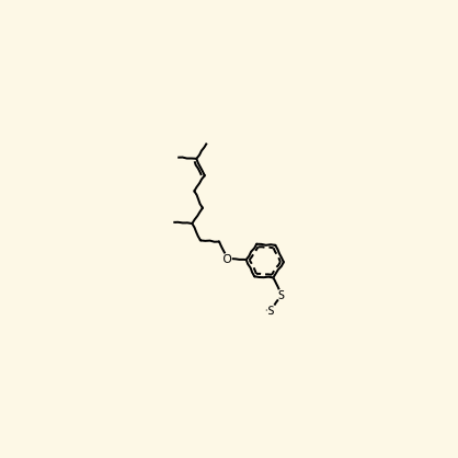 CC(C)=CCCC(C)CCOc1cccc(S[S])c1